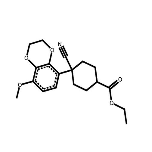 CCOC(=O)C1CCC(C#N)(c2ccc(OC)c3c2OCCO3)CC1